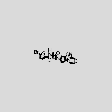 CC(C)(NC(=O)c1ccc(Br)s1)C(=O)Nc1ccc(N2CCOCC2=O)c(C#N)c1